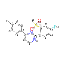 Cc1ccc(-c2ccnc(-c3ccc(F)cc3S(C)(=O)=O)n2)cc1